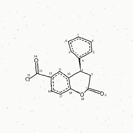 O=C1C[C@H](c2ccccc2)c2cc(C(=O)Cl)ccc2O1